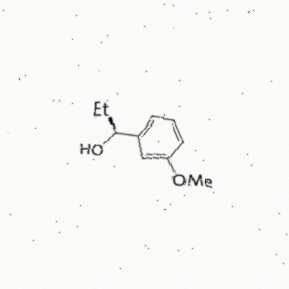 CC[C@H](O)c1cccc(OC)c1